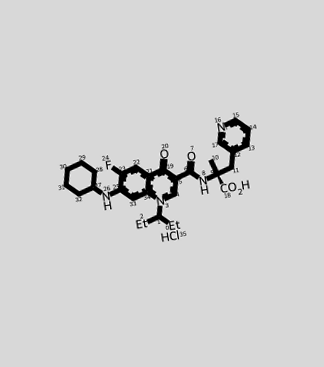 CCC(CC)n1cc(C(=O)N[C@](C)(Cc2cccnc2)C(=O)O)c(=O)c2cc(F)c(NC3CCCCC3)cc21.Cl